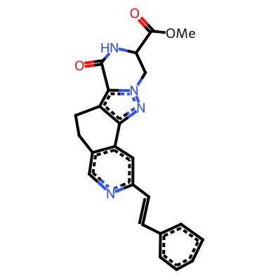 COC(=O)C1Cn2nc3c(c2C(=O)N1)CCc1cnc(/C=C/c2ccccc2)cc1-3